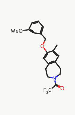 COc1cccc(COc2cc3c(cc2C)CCN(C(=O)C(F)(F)F)CC3)c1